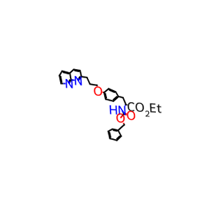 CCOC(=O)[C@H](Cc1ccc(OCCCc2ccc3cccnc3n2)cc1)NC(=O)OCc1ccccc1